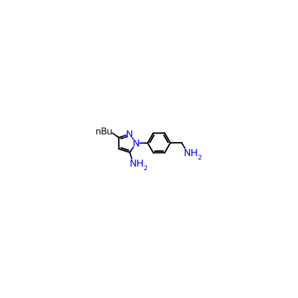 CCCCc1cc(N)n(-c2ccc(CN)cc2)n1